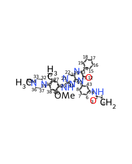 C=CC(=O)Nc1cccc(-n2c(=O)c(-c3ccccc3)nc3cnc(Nc4cc(C)c(N5CCN(C)CC5)cc4OC)nc32)c1